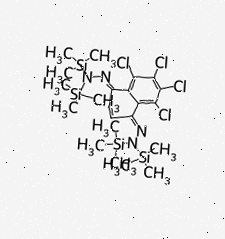 C[Si](C)(C)N(N=C1C=CC(=NN([Si](C)(C)C)[Si](C)(C)C)c2c(Cl)c(Cl)c(Cl)c(Cl)c21)[Si](C)(C)C